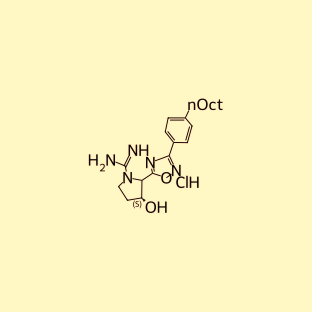 CCCCCCCCc1ccc(-c2noc(C3[C@@H](O)CCN3C(=N)N)n2)cc1.Cl